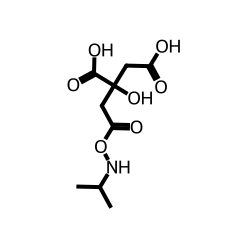 CC(C)NOC(=O)CC(O)(CC(=O)O)C(=O)O